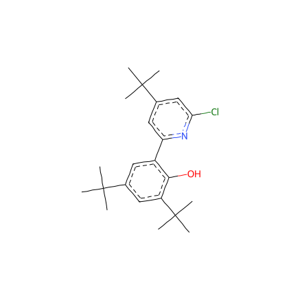 CC(C)(C)c1cc(Cl)nc(-c2cc(C(C)(C)C)cc(C(C)(C)C)c2O)c1